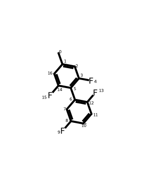 Cc1cc(F)c(-c2cc(F)[c]cc2F)c(F)c1